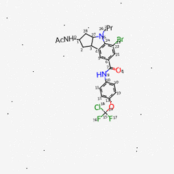 CC(=O)NC1CC2c3cc(C(=O)Nc4ccc(OC(F)(F)Cl)cc4)cc(Br)c3N(C(C)C)C2C1